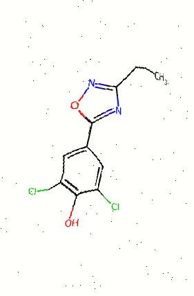 CCc1noc(-c2cc(Cl)c(O)c(Cl)c2)n1